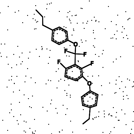 CCCc1ccc(OC(F)(F)c2c(F)c[c]c(Oc3ccc(CC)cc3)c2F)cc1